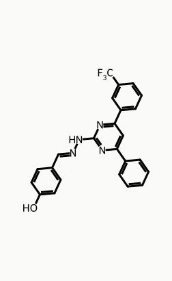 Oc1ccc(C=NNc2nc(-c3ccccc3)cc(-c3cccc(C(F)(F)F)c3)n2)cc1